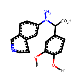 CCOc1cc(C(C(=O)O)N(N)c2ccc3cnccc3c2)ccc1OC(C)C